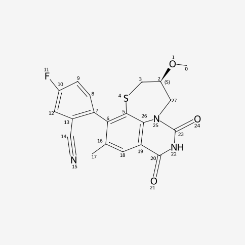 CO[C@@H]1CSc2c(-c3ccc(F)cc3C#N)c(C)cc3c(=O)[nH]c(=O)n(c23)C1